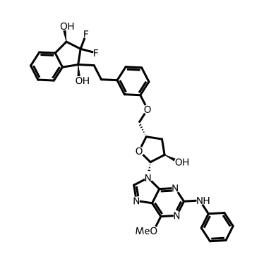 COc1nc(Nc2ccccc2)nc2c1ncn2[C@@H]1O[C@H](COc2cccc(CC[C@]3(O)c4ccccc4[C@@H](O)C3(F)F)c2)C[C@H]1O